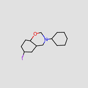 IC1CCC2OCN(C3CCCCC3)CC2C1